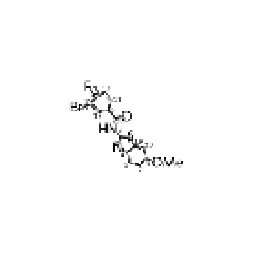 COc1ccc2nc(NC(=O)c3ccc(F)c(Br)c3)sc2c1